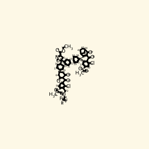 CCOC(=O)C1=NOC(c2ccccc2)(c2ccccc2)C1.CS(=O)(=O)c1ccc(C(=O)C2=C(Sc3ccccc3)C3CCC(C3)C2=O)c(Cl)c1.CS(=O)(=O)c1ccc(C(=O)C2C(=O)CCCC2=O)c(Cl)c1COCC(F)(F)F